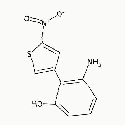 Nc1cccc(O)c1-c1csc([N+](=O)[O-])c1